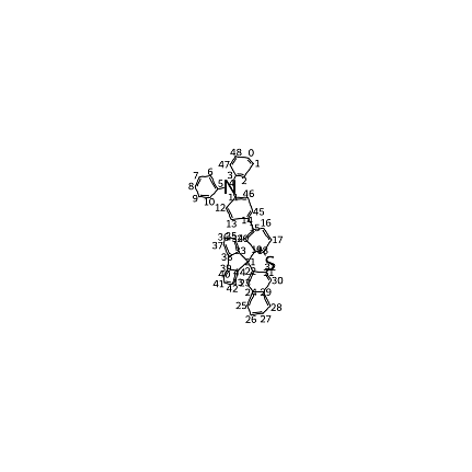 c1ccc(N(c2ccccc2)c2ccc(-c3ccc4c(c3)C3(c5cc6ccccc6cc5S4)c4ccccc4-c4ccccc43)cc2)cc1